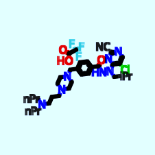 CCCN(CCC)CCCN1CCN(Cc2ccc(C(=O)NN(CC(C)C)c3nc(C#N)ncc3Cl)cc2)CC1.O=C(O)C(F)(F)F